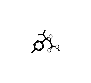 COC(=O)C1OC1(c1ccc(C)cc1)C(C)C